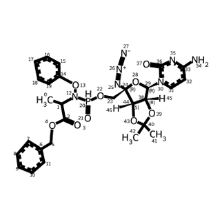 CC(C(=O)OCc1ccccc1)N(Oc1ccccc1)[PH](=O)OC[C@@]1(N=[N+]=[N-])O[C@@H](n2ccc(N)nc2=O)[C@@H]2OC(C)(C)O[C@@H]21